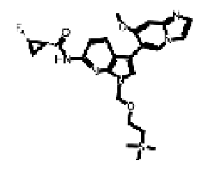 COc1cc2nccn2cc1-c1cn(COCC[Si](C)(C)C)c2nc(NC(=O)[C@@H]3C[C@@H]3F)ccc12